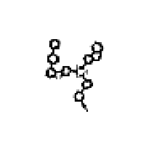 N#Cc1cccc(-c2cccc(-c3nc(-c4ccc5c(ccc6ccccc65)c4)nc(-c4ccc5c(c4)oc4cccc(-c6ccc(-c7ccccc7)cc6)c45)n3)c2)c1